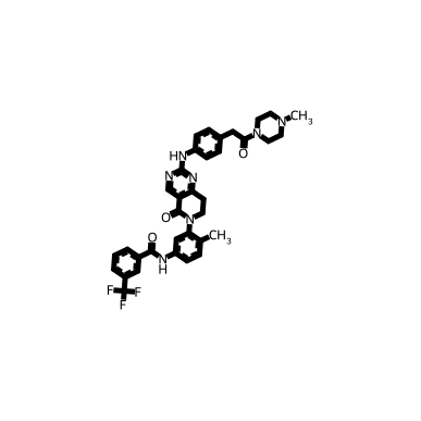 Cc1ccc(NC(=O)c2cccc(C(F)(F)F)c2)cc1N1CCc2nc(Nc3ccc(CC(=O)N4CCN(C)CC4)cc3)ncc2C1=O